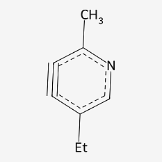 CCc1c#cc(C)nc1